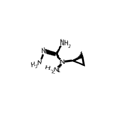 N/N=C(/N)N(N)C1CC1